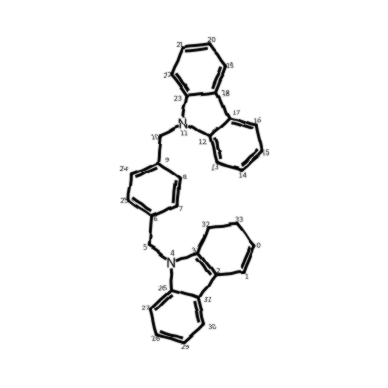 C1=Cc2c(n(Cc3ccc(Cn4c5ccccc5c5ccccc54)cc3)c3ccccc23)CC1